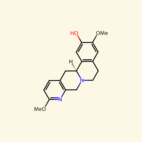 COc1ccc2c(n1)CN1CCc3cc(OC)c(O)cc3[C@@H]1C2